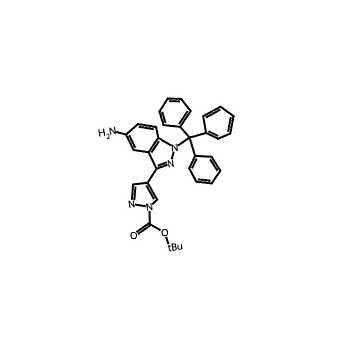 CC(C)(C)OC(=O)n1cc(-c2nn(C(c3ccccc3)(c3ccccc3)c3ccccc3)c3ccc(N)cc23)cn1